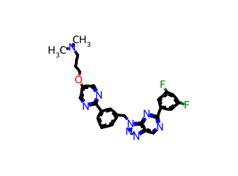 CN(C)CCCOc1cnc(-c2cccc(Cn3nnc4cnc(-c5cc(F)cc(F)c5)nc43)c2)nc1